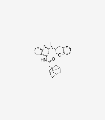 O=C(CC12CC3CC(CC(C3)C1)C2)Nc1cc(NC(CO)Cc2ccccc2)nc2ccccc12